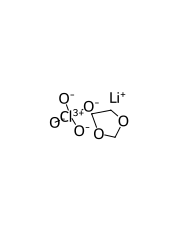 C1COCO1.[Li+].[O-][Cl+3]([O-])([O-])[O-]